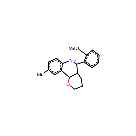 COc1ccccc1C1Nc2ccc(C(C)(C)C)cc2C2OCCCC12